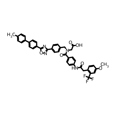 COc1ccc(CC(=O)Nc2ccc(C(=O)N(CC(=O)O)Cc3ccc(-c4noc(-c5ccc(-c6ccc(C)cc6)cc5)n4)cc3)cc2)c(C(F)(F)F)c1